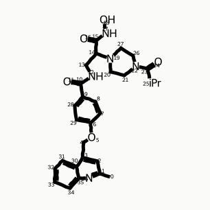 Cc1cc(COc2ccc(C(=O)NCC(C(=O)NO)N3CCN(C(=O)C(C)C)CC3)cc2)c2ccccc2n1